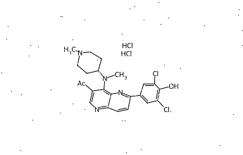 CC(=O)c1cnc2ccc(-c3cc(Cl)c(O)c(Cl)c3)nc2c1N(C)C1CCN(C)CC1.Cl.Cl